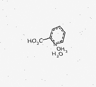 O.O.O=C(O)c1ccccn1